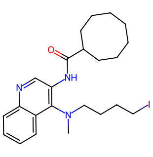 CN(CCCCI)c1c(NC(=O)C2CCCCCCC2)cnc2ccccc12